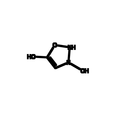 OC1=CN(O)NO1